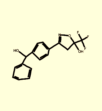 OC(c1ccccc1)c1ccc(C2=NOC(O)(C(F)(F)F)C2)cc1